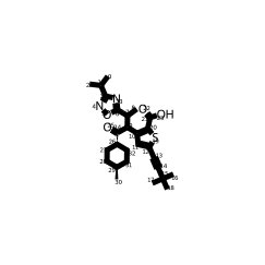 CC(C)c1noc(C(C)C(c2cc(C#CC(C)(C)C)sc2C(=O)O)C(=O)[C@H]2CC[C@H](C)CC2)n1